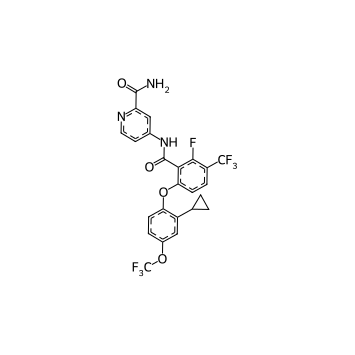 NC(=O)c1cc(NC(=O)c2c(Oc3ccc(OC(F)(F)F)cc3C3CC3)ccc(C(F)(F)F)c2F)ccn1